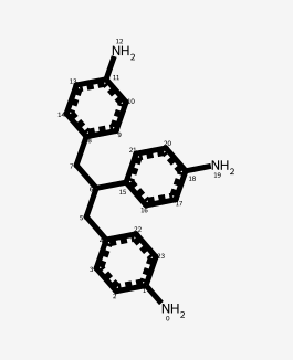 Nc1ccc(CC(Cc2ccc(N)cc2)c2ccc(N)cc2)cc1